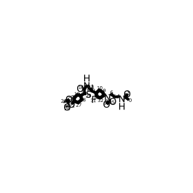 CC(=O)NCC1CN(c2ccc(C3=NNC(=O)C(c4ccc(OS(C)(=O)=O)cc4)S3)c(F)c2)C(=O)O1